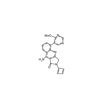 COc1ncncc1-c1cccc2c(N)c3c(nc12)CN(C1=CC=C1)C3=O